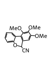 COc1cc2c(c(OC)c1OC)-c1ccccc1OC2C#N